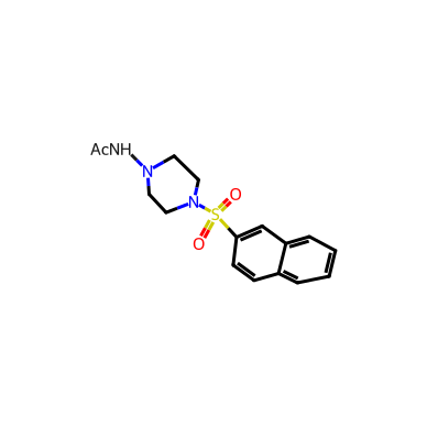 CC(=O)NN1CCN(S(=O)(=O)c2ccc3ccccc3c2)CC1